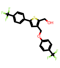 OCc1sc(-c2ccc(C(F)(F)F)cc2)cc1COc1ccc(C(F)(F)F)cc1